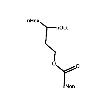 CCCCCCCCCC(=O)OCCC(CCCCCC)CCCCCCCC